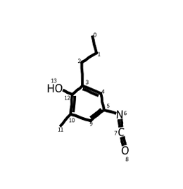 CCCc1cc(N=C=O)cc(C)c1O